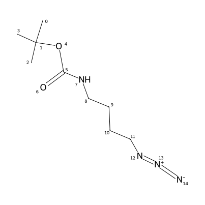 CC(C)(C)OC(=O)NCCCCN=[N+]=[N-]